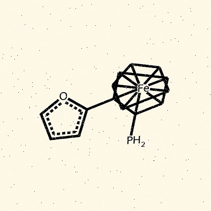 P[C]12[CH]3[CH]4[CH]5[C]1(c1ccco1)[Fe]43521678[CH]2[CH]1[CH]6[CH]7[CH]28